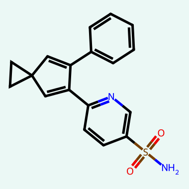 NS(=O)(=O)c1ccc(C2=CC3(C=C2c2ccccc2)CC3)nc1